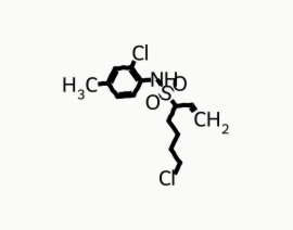 C=CC(CCCCCl)S(=O)(=O)Nc1ccc(C)cc1Cl